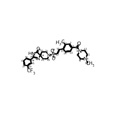 Cc1cc(C(=O)N2CCN(C)CC2)ccc1/C=C/S(=O)(=O)N1CCC2(CC1)N=C(c1cccc(C(F)(F)F)c1)NC2=O